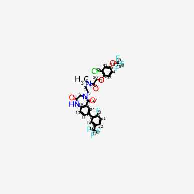 CN(CCN1CC(=O)Nc2ccc(-c3cc(C(F)(F)F)ccc3F)cc2C1=O)C(=O)COc1ccc(OC(F)(F)F)cc1Cl